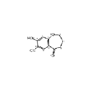 O=C1CCCOc2cc(O)c(Cl)cc21